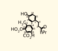 CCCC(=O)CCc1ccc(O)cc1.Cc1ccc(C(=O)O)cc1C(=O)O